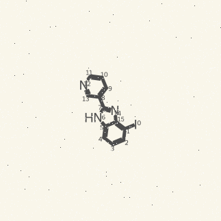 Ic1cccc2[nH]c(-c3cccnc3)nc12